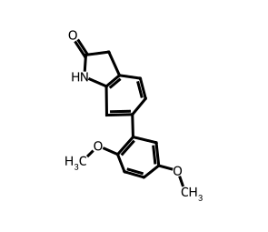 COc1ccc(OC)c(-c2ccc3c(c2)NC(=O)C3)c1